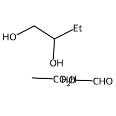 CC(=O)O.CCC(O)CO.O=CO